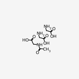 CC(=O)NCC(=O)O.NCC(=O)O.NCC(=O)O